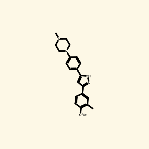 COc1ccc(-c2cc(-c3ccc(N4CCN(C)CC4)cc3)[nH]n2)cc1C